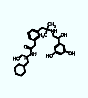 CC(C)(Cc1cccc(CC(=O)N[C@H](CO)CC2CCCCC2)c1)NCC(O)c1cc(O)cc(O)c1